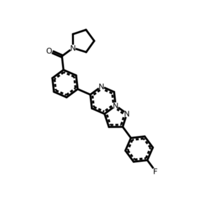 O=C(c1cccc(-c2cc3cc(-c4ccc(F)cc4)nn3cn2)c1)N1CCCC1